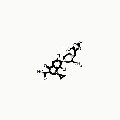 Cc1oc(=O)oc1CN1CCN(c2c(Cl)cc3c(=O)c(C(=O)O)cn(C4CC4)c3c2Cl)CC1C